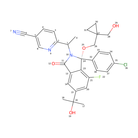 CC(c1ccc(C#N)cn1)N1C(=O)c2cc(C(C)(C)O)cc(F)c2[C@]1(OCC1(CO)CC1)c1ccc(Cl)cc1